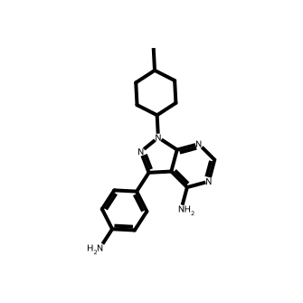 CC1CCC(n2nc(-c3ccc(N)cc3)c3c(N)ncnc32)CC1